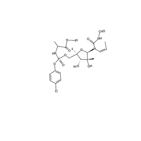 C/C=C\N(C(=O)NC=O)[C@@H]1O[C@](F)(COP(=O)(NC(C)C(=O)OC(C)C)Oc2ccc(Cl)cc2)[C@@H](OC(C)=O)[C@@]1(C)O